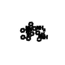 CC(C)(C)C1NC2=C(CCC=C2)N1c1ccc(-c2ccc(-c3ccccc3-c3nc(-c4ccccc4)nc(-c4cccc5c4sc4c(-c6ccccc6)cccc45)n3)cc2N)cc1